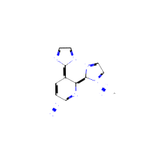 C1=NC(=c2cccnc2=C2N=CC=N2)N=C1.N#N.N#N.[Fe]